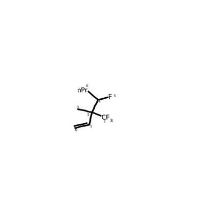 C=CC(C)(C(F)CCC)C(F)(F)F